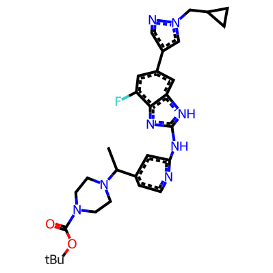 CC(c1ccnc(Nc2nc3c(F)cc(-c4cnn(CC5CC5)c4)cc3[nH]2)c1)N1CCN(C(=O)OC(C)(C)C)CC1